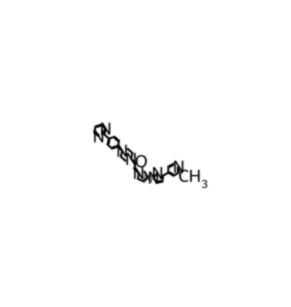 Cc1cc(-c2ccn([C@@H]3CCN(CC(=O)N4CCN(c5ccc(-c6ncccn6)cc5)CC4)C3)n2)ccn1